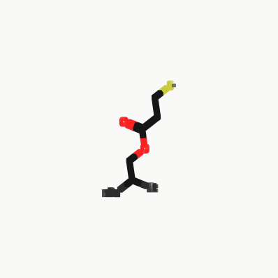 CCCCC(CC)COC(=O)CC[S]